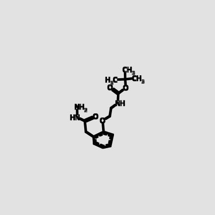 CC(C)(C)OC(=O)NCCOc1ccccc1CC(=O)NN